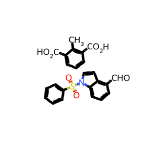 Cc1c(C(=O)O)cccc1C(=O)O.O=Cc1cccc2c1ccn2S(=O)(=O)c1ccccc1